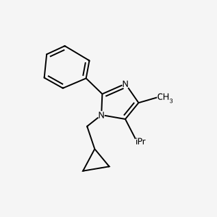 Cc1nc(-c2ccccc2)n(CC2CC2)c1C(C)C